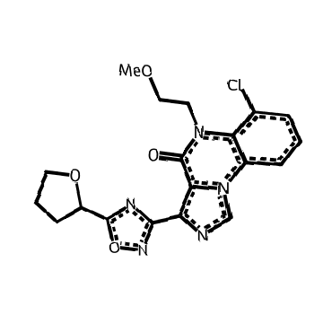 COCCn1c(=O)c2c(-c3noc(C4CCCO4)n3)ncn2c2cccc(Cl)c21